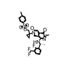 Cc1ccc(S(=O)(=O)OCC2(n3cc4c(N[C@H](C)c5cccc(C(F)F)c5F)nn(C)c(=O)c4cc3=O)CC2)cc1